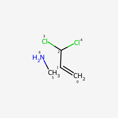 C=CC(Cl)Cl.CN